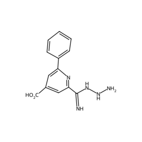 N=C(NNN)c1cc(C(=O)O)cc(-c2ccccc2)n1